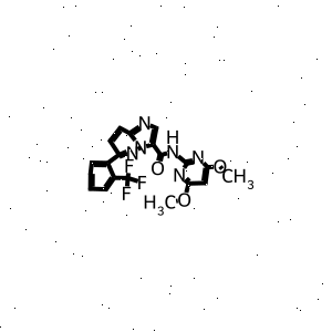 COc1cc(OC)nc(NC(=O)c2cnc3ccc(-c4ccccc4C(F)(F)F)nn23)n1